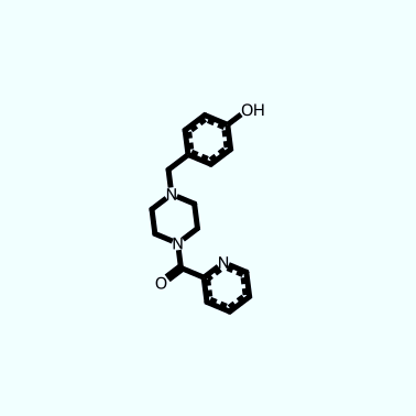 O=C(c1ccccn1)N1CCN(Cc2ccc(O)cc2)CC1